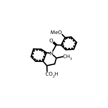 COc1ccccc1C(=O)N1c2ccccc2C(C(=O)O)CC1C